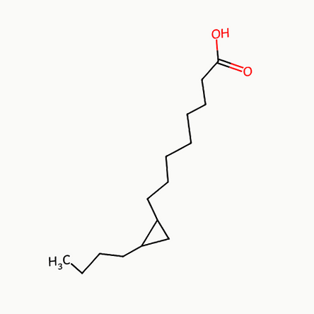 CCCCC1CC1CCCCCCCC(=O)O